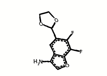 Nc1coc2c(F)c(F)c(C3OCCO3)cc12